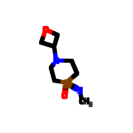 CN=S1(=O)CCN(C2COC2)CC1